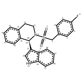 O=S(=O)(Cc1ccc(F)cc1)N1CCc2ccccc2[C@@H]1c1c[nH]c2ccccc12